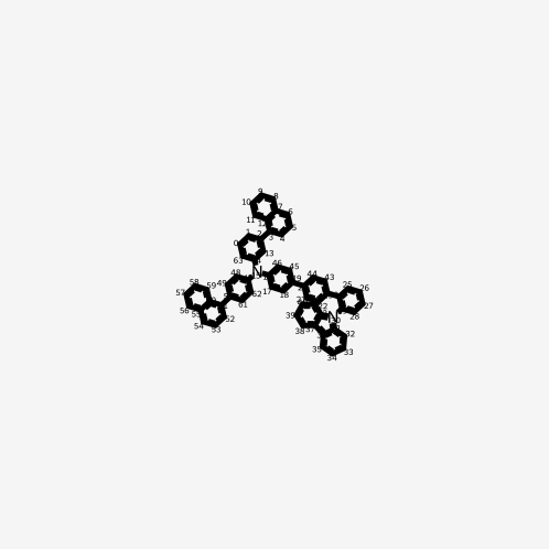 c1cc(-c2cccc3ccccc23)cc(N(c2ccc(-c3ccc(-c4ccccc4-n4c5ccccc5c5ccccc54)cc3)cc2)c2ccc(-c3cccc4ccccc34)cc2)c1